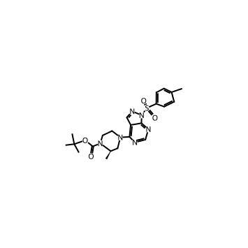 Cc1ccc(S(=O)(=O)n2ncc3c(N4CCN(C(=O)OC(C)(C)C)[C@H](C)C4)ncnc32)cc1